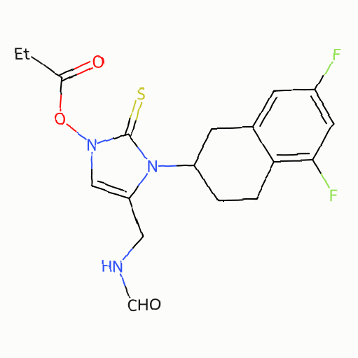 CCC(=O)On1cc(CNC=O)n(C2CCc3c(F)cc(F)cc3C2)c1=S